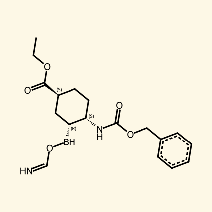 CCOC(=O)[C@H]1CC[C@H](NC(=O)OCc2ccccc2)[C@H](BOC=N)C1